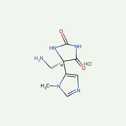 Cl.Cn1cncc1[C@@]1(CN)NC(=O)NC1=O